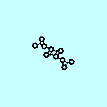 C1=C(c2ccc3c(c2)c2ccccc2n3-c2ccccc2)C2c3ccccc3N3c4ccc(-c5ccc6c(c5)c5ccccc5n6-c5ccccc5)c5c6ccccc6n(c45)C(=C1)C23